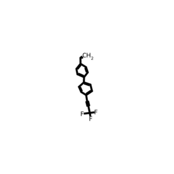 C=Cc1ccc(-c2ccc(C#CC(F)(F)F)cc2)cc1